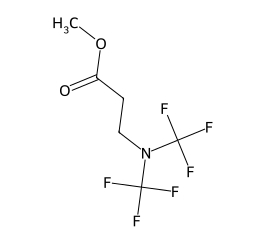 COC(=O)CCN(C(F)(F)F)C(F)(F)F